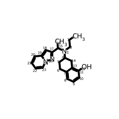 CCCN(C1CCc2cccc(O)c2C1)C(C)c1cc2ccccn2n1